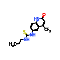 C=CCNC(=S)Nc1ccc2[nH]c(=O)cc(C(F)(F)F)c2c1